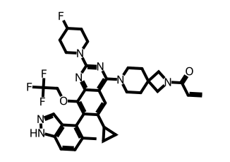 C=CC(=O)N1CC2(CCN(c3nc(N4CCC(F)CC4)nc4c(OCC(F)(F)F)c(-c5c(C)ccc6[nH]ncc56)c(C5CC5)cc34)CC2)C1